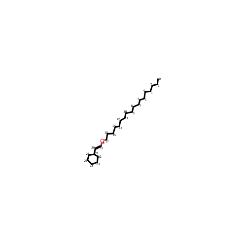 CCCCCCCCCCCCCCCCCCOC=CC1CCCCC1